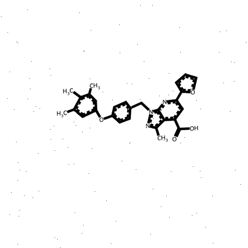 Cc1cc(Oc2ccc(Cn3nc(C)c4c(C(=O)O)cc(-c5ccco5)nc43)cc2)cc(C)c1C